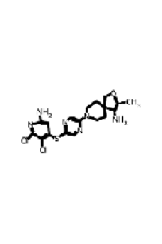 C[C@@H]1OCC2(CCN(c3cnc(Sc4cc(N)nc(Cl)c4Cl)cn3)CC2)[C@@H]1N